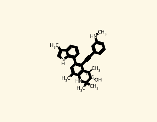 CNc1cccc(C#Cc2c(-c3cccc4c(C)c[nH]c34)cc(C)c3c2[C@@H](C)[C@H](O)C(C)(C)N3)c1